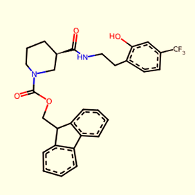 O=C(NCCc1ccc(C(F)(F)F)cc1O)[C@@H]1CCCN(C(=O)OCC2c3ccccc3-c3ccccc32)C1